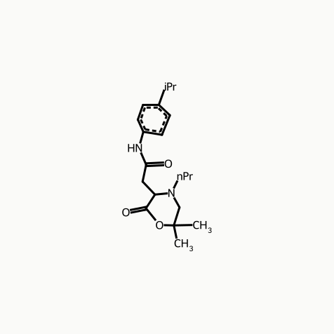 CCCN1CC(C)(C)OC(=O)C1CC(=O)Nc1ccc(C(C)C)cc1